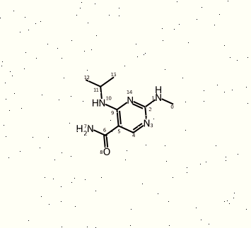 CNc1ncc(C(N)=O)c(NC(C)C)n1